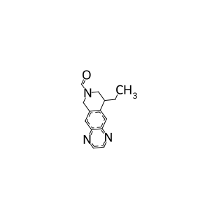 CCC1CN(C=O)Cc2cc3nccnc3cc21